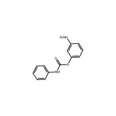 CC(=O)Nc1cccc(OC(=O)Nc2ccccc2)c1